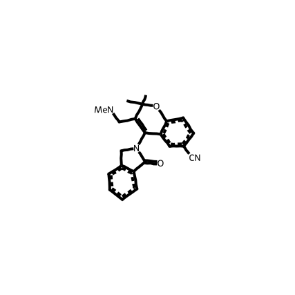 CNCC1=C(N2Cc3ccccc3C2=O)c2cc(C#N)ccc2OC1(C)C